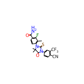 Cc1c(N2C(=S)N(c3ccc(C#N)c(C(F)(F)F)c3)C(=O)C2(C)C)ccc(C(N)=O)c1F